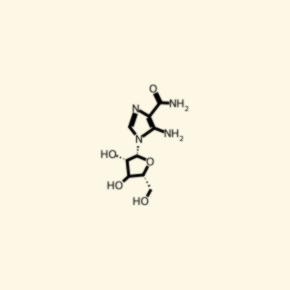 NC(=O)c1ncn([C@@H]2O[C@H](CO)C(O)[C@@H]2O)c1N